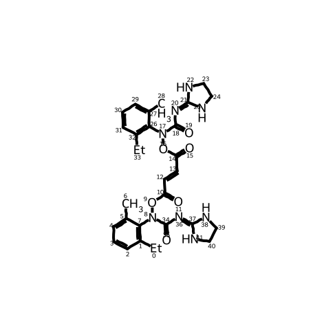 CCc1cccc(C)c1N(OC(=O)/C=C/C(=O)ON(C(=O)N=C1NCCN1)c1c(C)cccc1CC)C(=O)N=C1NCCN1